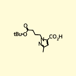 Cc1cc(C(=O)O)n(CCCC(=O)OC(C)(C)C)n1